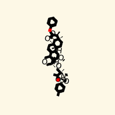 CO[C@@H]1C[C@@]23COC[C@@](C)([C@@H]2CC[C@H]2C3=CC[C@@]3(C)[C@H](C(=O)OCc4ccccc4)[C@@](C)([C@H](C)C(C)C)CC[C@]23C)[C@H]1OC[C@](C)(C(C)C)N(C)S(=O)(=O)c1ccc(C)cc1